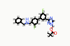 CC(C)(C)C(=O)OCn1cnc(-c2cc(F)cc(-c3ccc(CNCc4ccccc4)c(F)c3)c2)n1